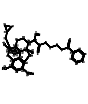 CCCCN(C(=O)CCCCC(=O)c1ccccc1)[C@@H]1CC[C@H]2[C@H]3Cc4c(O)cc(OC)c5c4[C@@]2(CCN3CC2CC2)[C@H]1O5